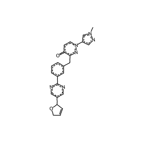 Cn1cc(-n2ccc(=O)c(Cc3cccc(-c4ncc(C5C=CCO5)cn4)c3)n2)cn1